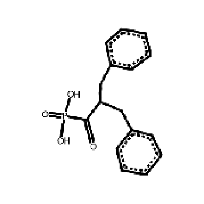 O=C(C(Cc1ccccc1)Cc1ccccc1)P(=O)(O)O